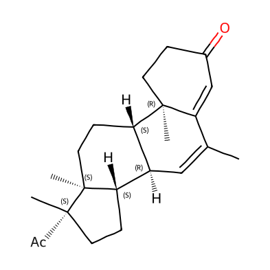 CC(=O)[C@@]1(C)CC[C@H]2[C@@H]3C=C(C)C4=CC(=O)CC[C@]4(C)[C@H]3CC[C@@]21C